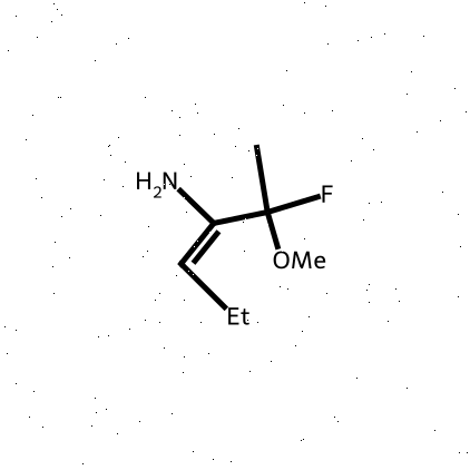 CC/C=C(/N)C(C)(F)OC